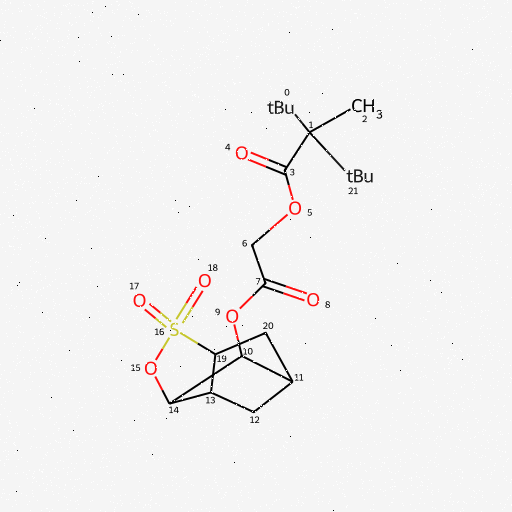 CC(C)(C)C(C)(C(=O)OCC(=O)OC1C2CC3C1OS(=O)(=O)C3C2)C(C)(C)C